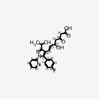 CC(C)c1nn(-c2ccccn2)c(-c2ccc(F)cc2)c1/C=C/C(O)CC(=O)CC(=O)O